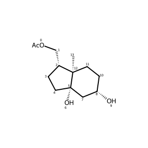 CC(=O)OC[C@H]1CC[C@]2(O)C[C@@H](O)CC[C@]12C